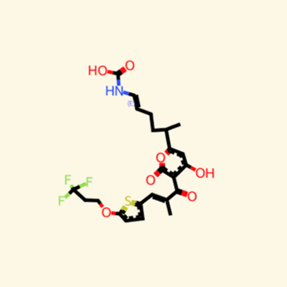 CC(=Cc1ccc(OCCC(F)(F)F)s1)C(=O)c1c(O)cc(C(C)CC/C=C/NC(=O)O)oc1=O